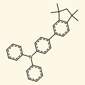 CC1(C)CC(C)(C)c2cc(-c3ccc(N(c4ccccc4)c4ccccc4)cc3)ccc21